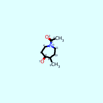 CC(=O)N1CCC(=O)C(C)CC1